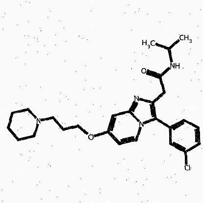 CC(C)NC(=O)Cc1nc2cc(OCCCN3CCCCC3)ccn2c1-c1cccc(Cl)c1